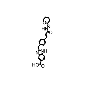 O=C(/C=C/c1ccc(Cc2nc3cc(C(=O)O)ccc3[nH]2)cc1)NOC1CCCCO1